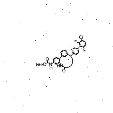 COC(=O)Nc1ccc2c(c1)NC(=O)CCCCC(c1ccc(-c3c(F)ccc(Cl)c3F)cn1)c1cccc-2c1